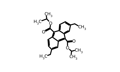 CCc1ccc2c(C(=O)OC(C)C)c3ccc(CC)cc3c(C(=O)OC(C)C)c2c1